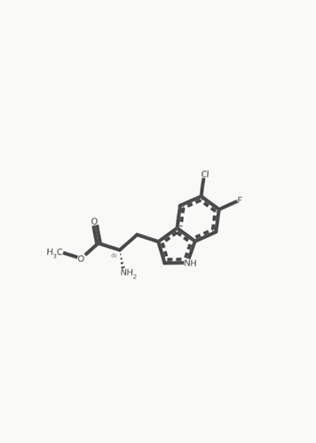 COC(=O)[C@@H](N)Cc1c[nH]c2cc(F)c(Cl)cc12